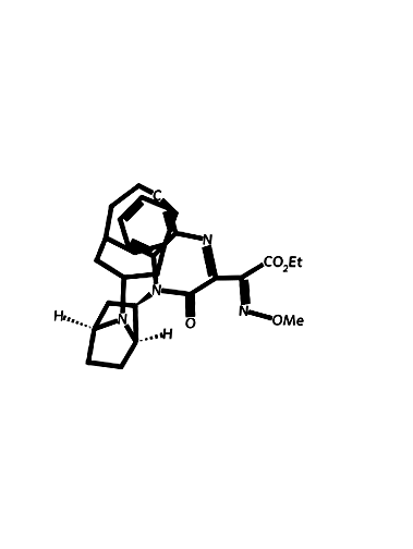 CCOC(=O)/C(=N\OC)c1nc2ccccc2n([C@@H]2C[C@@H]3CC[C@H]2N3C2CC3CCCCC(C3)C2)c1=O